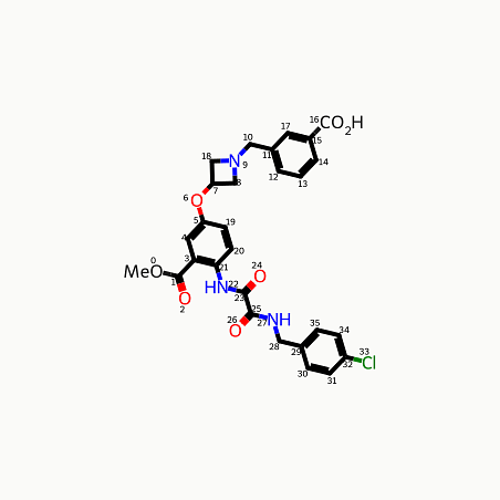 COC(=O)c1cc(OC2CN(Cc3cccc(C(=O)O)c3)C2)ccc1NC(=O)C(=O)NCc1ccc(Cl)cc1